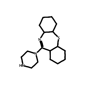 C1CCC2SC3CCCCC3C(N3CCNCC3)=NC2C1